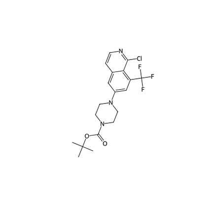 CC(C)(C)OC(=O)N1CCN(c2cc(C(F)(F)F)c3c(Cl)nccc3c2)CC1